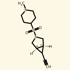 C#CC1[C@H]2CN(S(=O)(=O)C3CCN(C)CC3)C[C@@H]12